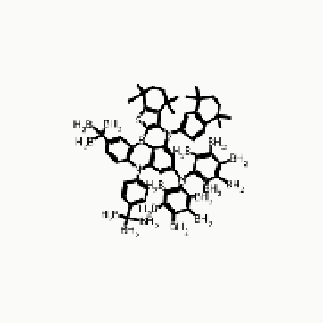 Bc1c(B)c(B)c(N(c2cc3c4c(c2)N(c2ccc5c(c2)C(C)(C)CCC5(C)C)c2c(sc5c2C(C)(C)CCC5(C)C)B4c2cc(C(B)(B)B)ccc2N3c2ccc(C(B)(B)B)cc2)c2c(B)c(B)c(B)c(B)c2B)c(B)c1B